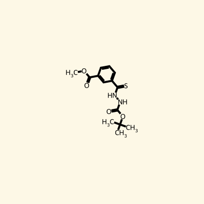 COC(=O)c1cccc(C(=S)NNC(=O)OC(C)(C)C)c1